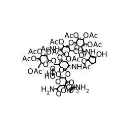 CC(=O)N[C@H]1C(OC(C)=O)[C@H](O[C@@H]2OC(C(=O)NC3=C(O)CCC3=O)[C@H](OC(C)=O)C(OC(C)=O)[C@@H]2OC(C)=O)C(C)O[C@H]1O[C@@H]1C(CO[C@@H]2OC(COC(C)=O)[C@@H](OC(C)=O)C(OC(C)=O)[C@@H]2OC(C)=O)O[C@@H](OC2[C@@H](O[PH](=O)O)OC(C(N)=O)[C@@](C)(O)[C@@H]2OC(N)=O)[C@@H](NC(C)=O)C1OC(C)=O